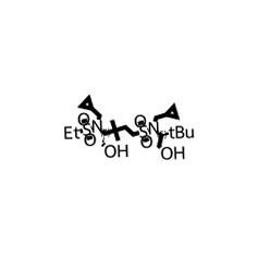 CCS(=O)(=O)N(CC1CC1)[C@@H](CO)C(C)(C)CCS(=O)(=O)N(CC1CC1)[C@H](CO)C(C)(C)C